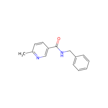 Cc1ccc(C(=O)NCc2ccccc2)cn1